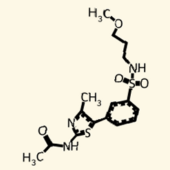 COCCCNS(=O)(=O)c1cccc(-c2sc(NC(C)=O)nc2C)c1